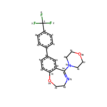 FC(F)(F)c1ccc(-c2ccc3c(c2)C(N2CCOCC2)=NCCO3)cc1